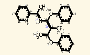 C=C(Oc1ccccc1)/C(=C(\N=C(/C)c1ccccn1)Oc1ccccc1)C(F)(F)F